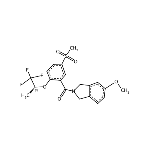 COc1ccc2c(c1)CN(C(=O)c1cc(S(C)(=O)=O)ccc1O[C@@H](C)C(F)(F)F)C2